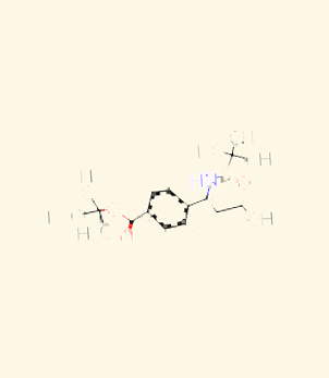 CCC[C@H](N[S@@+]([O-])C(C)(C)C)c1ccc(C(=O)OC(C)(C)C)cc1